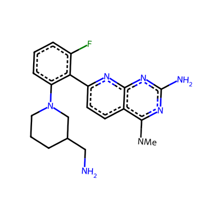 CNc1nc(N)nc2nc(-c3c(F)cccc3N3CCCC(CN)C3)ccc12